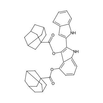 O=C(Oc1cccc2[nH]c(-c3cc4ccccc4[nH]3)c(OC(=O)C34CC5CC(CC(C5)C3)C4)c12)C12CC3CC(CC(C3)C1)C2